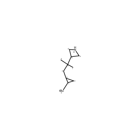 CC(C)(C)C1CC1CC(C)(C)C1CNC1